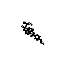 CC(Cl)OC(=O)O[C@@H]1CO[C@H]2[C@H]1OC[C@H]2OC(=O)N1CCC(O[N+](=O)[O-])CC1